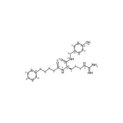 N=C(N)NCCC[C@@H](NC(=O)CCCCc1ccccc1)C(=O)NCc1ccc(O)cc1